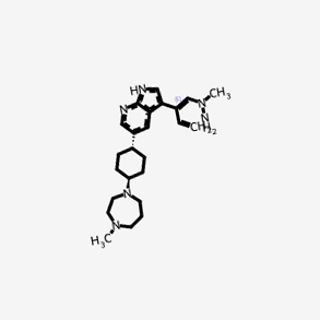 C=C/C(=C\N(C)N)c1c[nH]c2ncc([C@H]3CC[C@H](N4CCCN(C)CC4)CC3)cc12